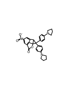 O=C1OC23c4c1cc([N+](=O)[O-])cc4C2C3(c1ccc(N2CCCC2)cc1)c1ccc(N2CCCC2)cc1